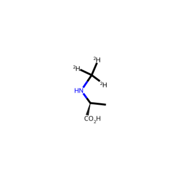 [2H]C([2H])([2H])N[C@@H](C)C(=O)O